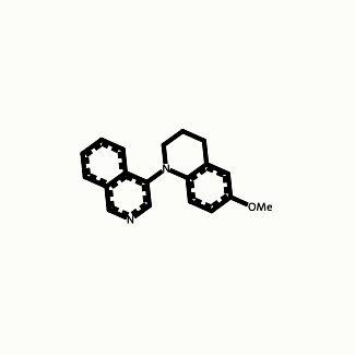 COc1ccc2c(c1)CCCN2c1cncc2ccccc12